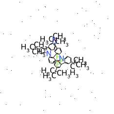 CC(C)(C)c1ccc2c(c1)c1cc(C(C)(C)C)ccc1n2-c1ccc(C#N)cc1-c1c(-n2c3ccc(C(C)(C)C)cc3c3cc(C(C)(C)C)ccc32)cccc1C(F)(F)F